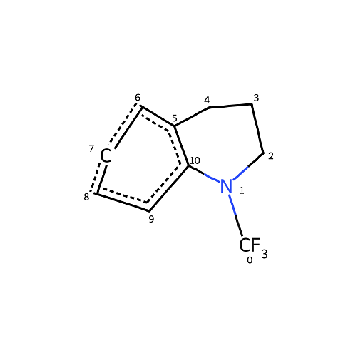 FC(F)(F)N1CCCc2ccccc21